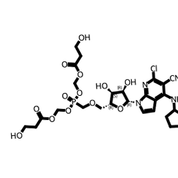 N#Cc1c(Cl)nc2c(ccn2[C@@H]2O[C@H](COCP(=O)(OCOC(=O)CCO)OCOC(=O)CCO)[C@@H](O)[C@H]2O)c1NC1CCCC1